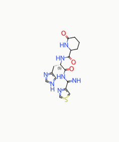 N=C(NC(=O)[C@H](Cc1c[nH]cn1)NC(=O)C1CCCC(=O)N1)c1cscn1